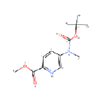 COC(=O)c1ccc(N(C)C(=O)OC(C)(C)C)cn1